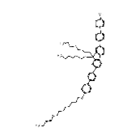 CCC=COCCCCCCCCOc1ccc(-c2ccc(-c3ccc4c(c3)C(CCCCCCCC)(CCCCCCCC)c3cc(-c5ccc(-c6ccc(C)cc6)cc5)ccc3-4)cc2)cc1